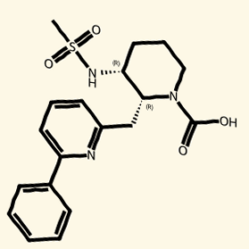 CS(=O)(=O)N[C@@H]1CCCN(C(=O)O)[C@@H]1Cc1cccc(-c2ccccc2)n1